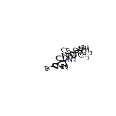 CC(C)(C)[Si](C)(C)Oc1ccc(/N=C(\N)c2cnn3cc(Br)cc3c2Cl)c(CC(F)(F)F)c1